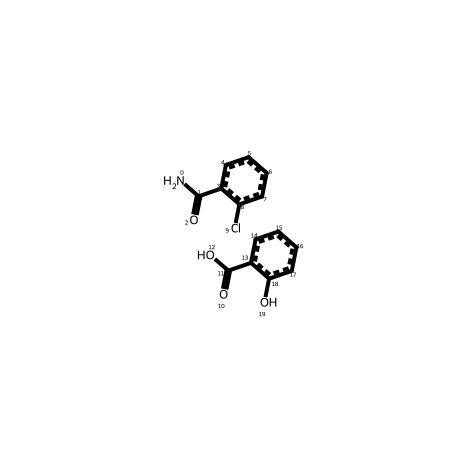 NC(=O)c1ccccc1Cl.O=C(O)c1ccccc1O